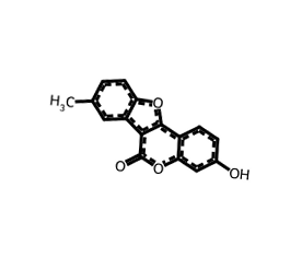 Cc1ccc2oc3c4ccc(O)cc4oc(=O)c3c2c1